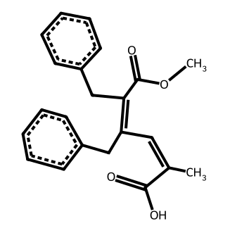 COC(=O)C(Cc1ccccc1)=C(C=C(C)C(=O)O)Cc1ccccc1